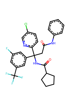 O=C(CC(NC(=O)C1CCCC1)(c1cc(F)cc(C(F)(F)F)c1)c1ccc(Cl)cn1)Nc1ccccc1